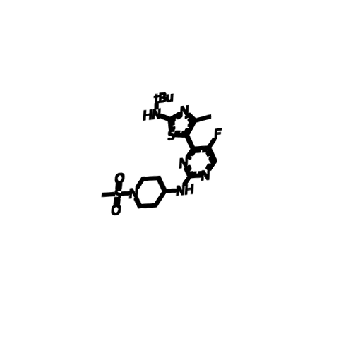 Cc1nc(NC(C)(C)C)sc1-c1nc(NC2CCN(S(C)(=O)=O)CC2)ncc1F